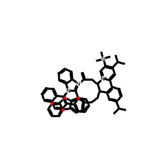 C=C1CC2C(CCc3ccc4c(oc5ccccc54)c3-c3n(-c4c(-c5ccccc5)ccc5ccccc45)c4ccccc4[n+]31)c1cc(C(C)C)ccc1-c1cc(C(C)C)c([Si](C)(C)C)c[n+]12